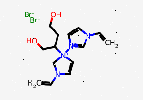 C=CN1C=C[N+](C(CO)CCO)([n+]2ccn(C=C)c2)C1.[Br-].[Br-]